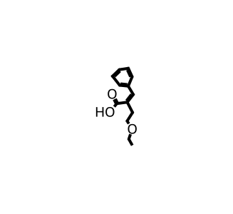 CCOCCC(=Cc1ccccc1)C(=O)O